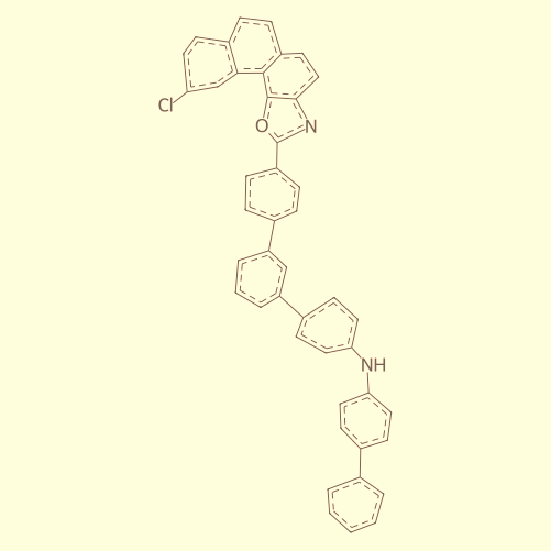 Clc1ccc2ccc3ccc4nc(-c5ccc(-c6cccc(-c7ccc(Nc8ccc(-c9ccccc9)cc8)cc7)c6)cc5)oc4c3c2c1